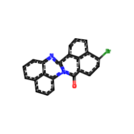 O=c1c2ccc(Br)c3cccc(c32)c2nc3cccc4cccc(c43)n12